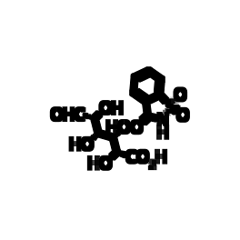 O=C1NS(=O)(=O)c2ccccc21.O=C[C@H](O)[C@@H](O)[C@H](O)[C@H](O)C(=O)O